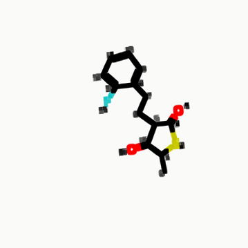 CC1SC(=O)C(CCc2ccccc2F)C1=O